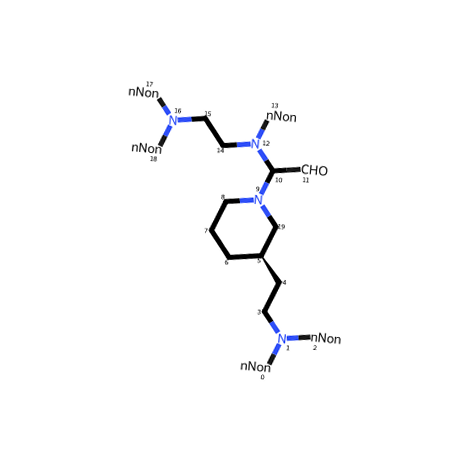 CCCCCCCCCN(CCCCCCCCC)CC[C@H]1CCCN(C(C=O)N(CCCCCCCCC)CCN(CCCCCCCCC)CCCCCCCCC)C1